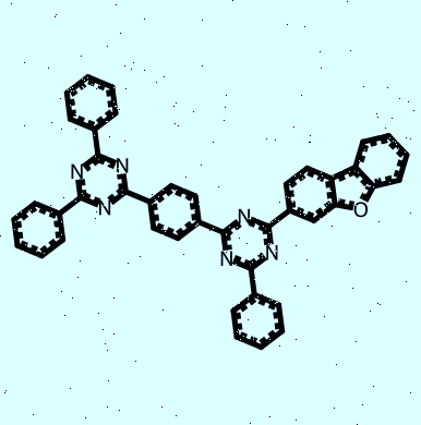 c1ccc(-c2nc(-c3ccccc3)nc(-c3ccc(-c4nc(-c5ccccc5)nc(-c5ccc6c(c5)oc5ccccc56)n4)cc3)n2)cc1